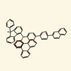 CC1(c2ccccc2)c2ccccc2-c2c(N(c3ccc(-c4ccc(-c5ccc6ccccc6c5)cc4)cc3)c3ccccc3-c3ccccc3-c3ccccc3-c3ccccc3)cccc21